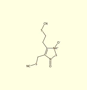 N#CSCCC1=C(CSC#N)[N+](=O)S[NH+]1[O-]